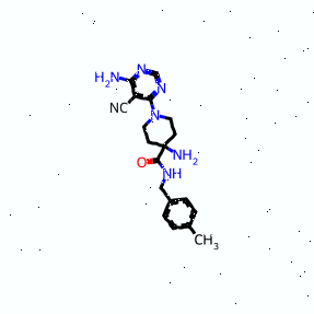 Cc1ccc(CNC(=O)C2(N)CCN(c3ncnc(N)c3C#N)CC2)cc1